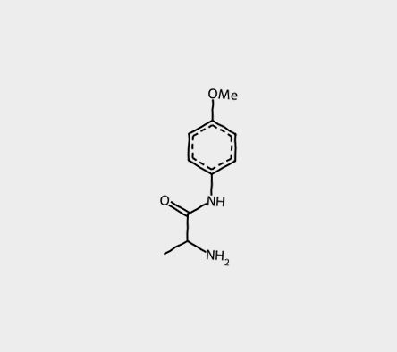 COc1ccc(NC(=O)C(C)N)cc1